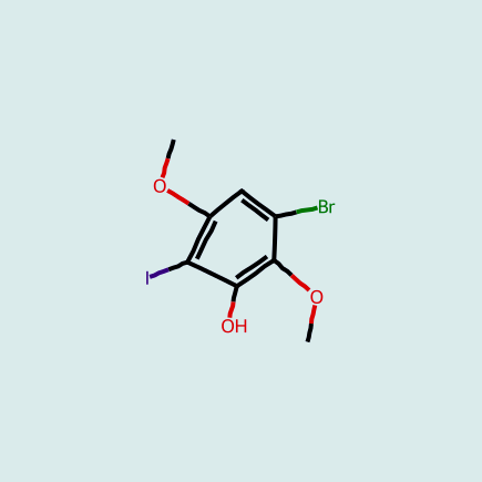 COc1cc(Br)c(OC)c(O)c1I